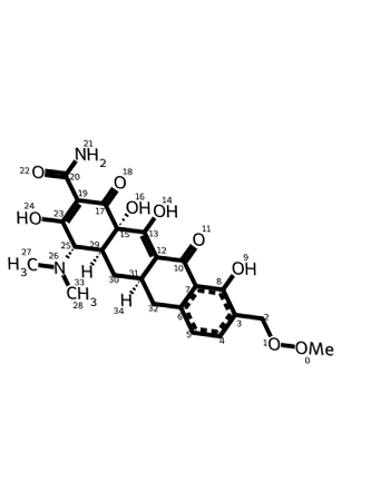 COOCc1ccc2c(c1O)C(=O)C1=C(O)[C@]3(O)C(=O)C(C(N)=O)=C(O)[C@@H](N(C)C)[C@@H]3C[C@@H]1C2